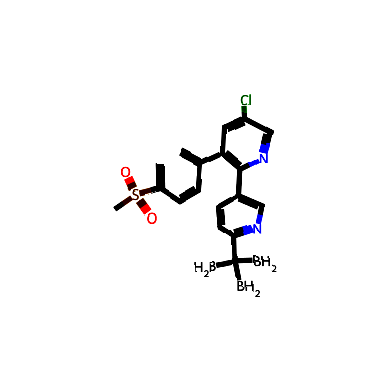 BC(B)(B)c1ccc(-c2ncc(Cl)cc2C(=C)/C=C\C(=C)S(C)(=O)=O)cn1